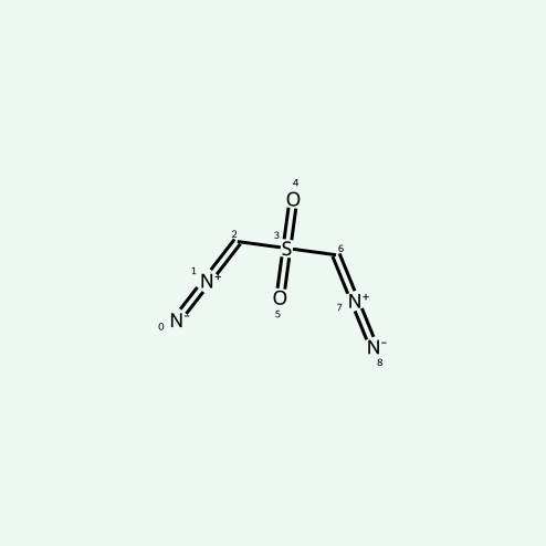 [N-]=[N+]=CS(=O)(=O)C=[N+]=[N-]